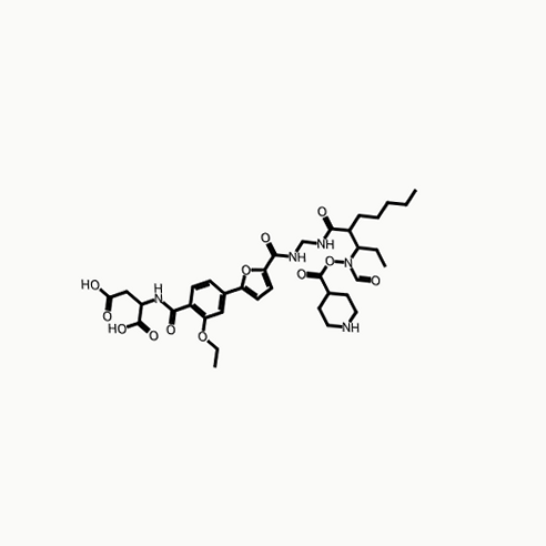 CCCCCC(C(=O)NCNC(=O)c1ccc(-c2ccc(C(=O)NC(CC(=O)O)C(=O)O)c(OCC)c2)o1)C(CC)N(C=O)OC(=O)C1CCNCC1